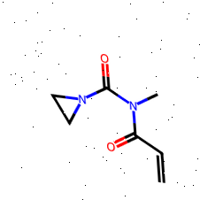 C=CC(=O)N(C)C(=O)N1CC1